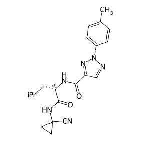 Cc1ccc(-n2ncc(C(=O)N[C@@H](CC(C)C)C(=O)NC3(C#N)CC3)n2)cc1